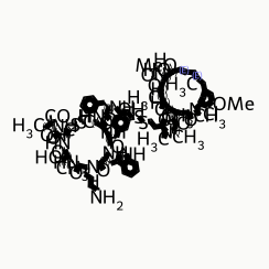 COc1cc2cc(c1Cl)N(C)C(=O)C[C@H](OC(=O)[C@H](C)N(C)C(=O)CCSSCCCN[C@H](Cc1ccccc1)C(=O)N[C@H]1CSSC[C@@H](C(=O)N[C@H](C(=O)O)[C@@H](C)O)NC(=O)[C@H]([C@@H](C)O)NC(=O)[C@H](CCCCN)NC(=O)[C@@H](Cc3c[nH]c4ccccc34)NC(=O)[C@H](Cc3ccc(O)cc3)NC1=O)[C@]1(C)O[C@H]1[C@H](C)[C@@H]1C[C@@](O)(NC(=O)O1)[C@H](OC)/C=C/C=C(\C)C2